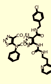 CCOC(=O)c1nnsc1N(C(=O)O)c1ccccc1.O=C(NCCc1ccccn1)Nc1snnc1C(=O)NCc1ccc(Cl)cc1